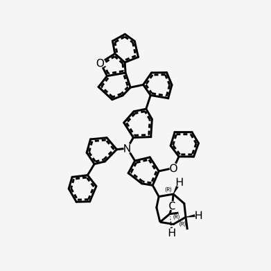 C[C@@H]1CC2CC(c3ccc(N(c4ccc(-c5ccccc5-c5cccc6oc7ccccc7c56)cc4)c4cccc(-c5ccccc5)c4)cc3Oc3ccccc3)[C@H](C1)C[C@H]2C